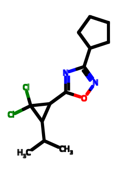 CC(C)C1C(c2nc(C3CCCC3)no2)C1(Cl)Cl